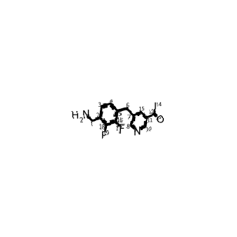 NCc1ccc(Cc2cncc(C(=O)I)c2)c(F)c1F